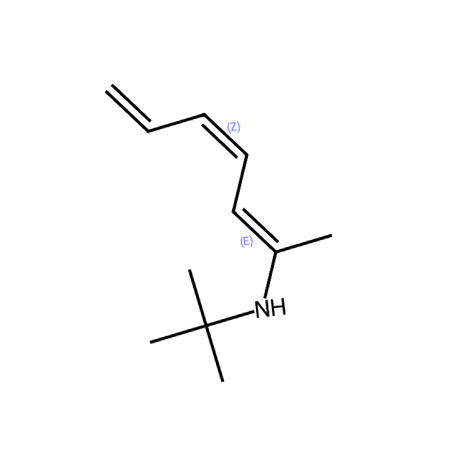 C=C/C=C\C=C(/C)NC(C)(C)C